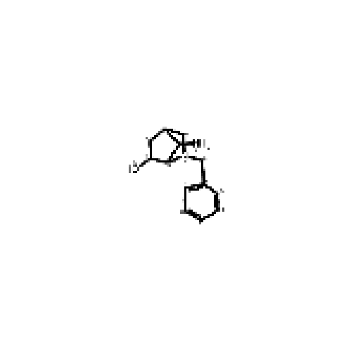 NC1C2CC(O)C1N(Cc1ccccc1)C2